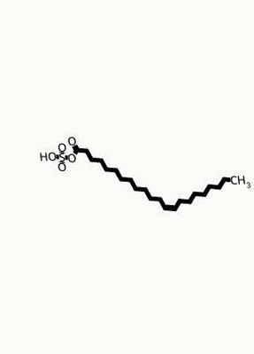 CCCCCCCC/C=C\CCCCCCCCCCCC(=O)OS(=O)(=O)O